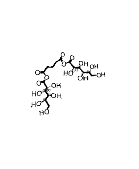 O=C(CCCC(=O)OC(=O)[C@H](O)[C@@H](O)[C@H](O)[C@H](O)CO)OC(=O)[C@H](O)[C@@H](O)[C@H](O)[C@H](O)CO